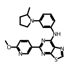 COc1ccc(-c2nc(Nc3cccc(N4CCCC4C)c3)c3ncsc3n2)cn1